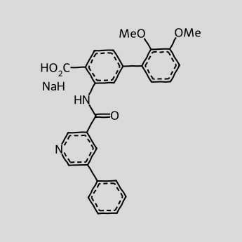 COc1cccc(-c2ccc(C(=O)O)c(NC(=O)c3cncc(-c4ccccc4)c3)c2)c1OC.[NaH]